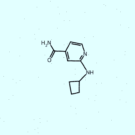 NC(=O)c1ccnc(NC2CCC2)c1